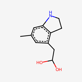 Cc1cc(CC(O)O)c2c(c1)NCC2